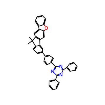 CC1(C)c2ccc(-c3ccc(-c4nc(-c5ccccc5)nc(-c5ccccc5)n4)cc3)cc2-c2cc3oc4ccccc4c3cc21